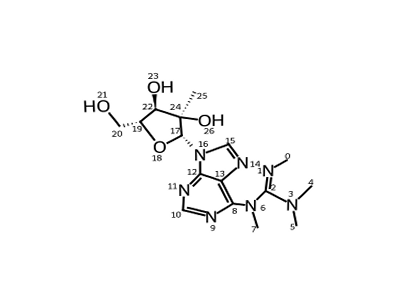 CN=C(N(C)C)N(C)c1ncnc2c1ncn2[C@@H]1O[C@H](CO)[C@@H](O)[C@@]1(C)O